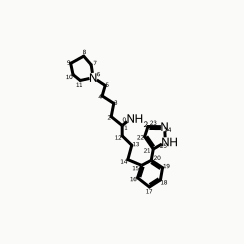 NC(CCCCN1CCCCC1)CCCc1ccccc1-c1ccn[nH]1